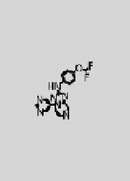 FC(F)Oc1ccc(NC2=N[N+]3(c4cncnc4)C=CN=CC3=N2)cc1